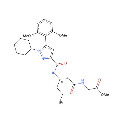 COC(=O)CNC(=O)C[C@H](CCC(C)C)NC(=O)c1cc(-c2c(OC)cccc2OC)n(C2CCCCC2)n1